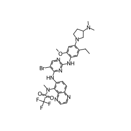 CCc1cc(Nc2ncc(Br)c(Nc3ccc4nccnc4c3N(C)S(=O)(=O)C(F)(F)F)n2)c(OC)cc1N1CCC(N(C)C)C1